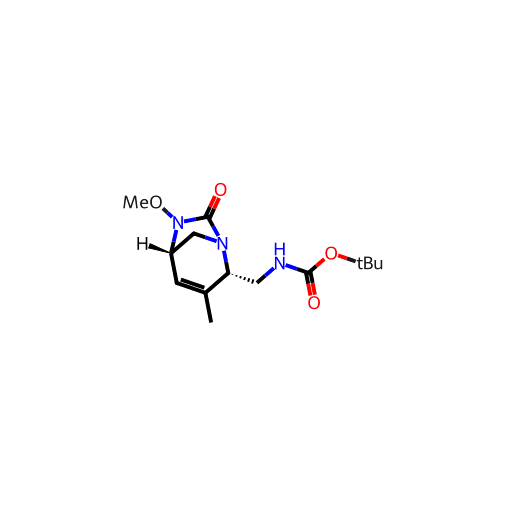 CON1C(=O)N2C[C@@H]1C=C(C)[C@H]2CNC(=O)OC(C)(C)C